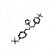 FC(F)(F)Oc1ccc(CCN(Cc2ccc(C(F)(F)F)nc2)c2ncco2)cc1